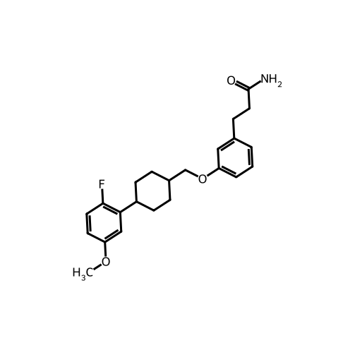 COc1ccc(F)c(C2CCC(COc3cccc(CCC(N)=O)c3)CC2)c1